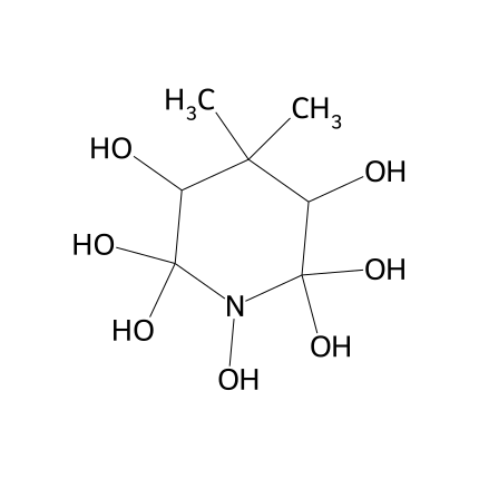 CC1(C)C(O)C(O)(O)N(O)C(O)(O)C1O